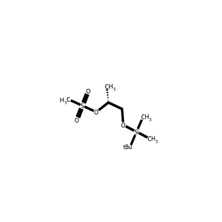 C[C@H](CO[Si](C)(C)C(C)(C)C)OS(C)(=O)=O